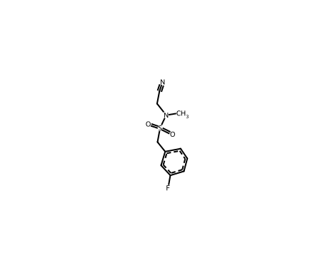 CN(CC#N)S(=O)(=O)Cc1cccc(F)c1